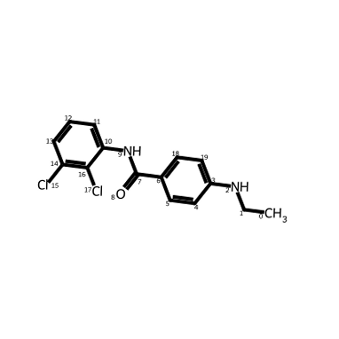 CCNc1ccc(C(=O)Nc2cccc(Cl)c2Cl)cc1